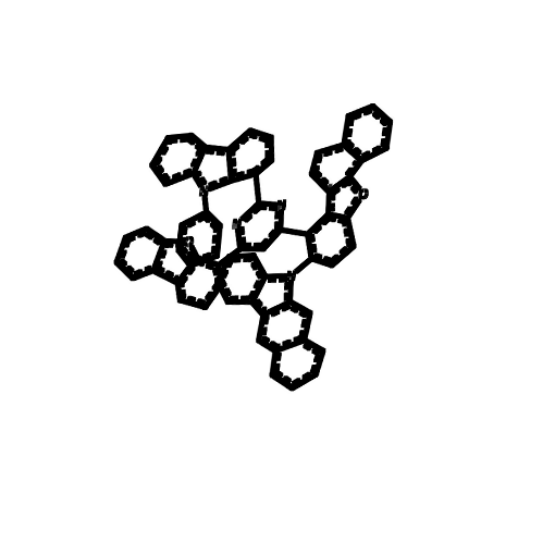 c1ccc(-n2c3ccccc3c3cccc(-c4nc(-c5cccc6c5oc5ccccc56)cc(-c5c(-n6c7ccccc7c7cc8ccccc8cc76)ccc6oc7c8ccccc8ccc7c56)n4)c32)cc1